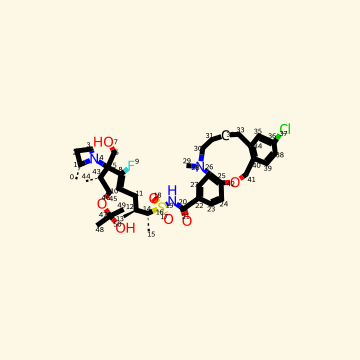 C[C@@H]1CCN1C(CO)(/C(F)=C/C[C@H](C)[C@@H](C)S(=O)(=O)NC(=O)c1ccc2c(c1)N(C)CCCCc1cc(Cl)ccc1CO2)[C@@H](C)COC(C)(C)O